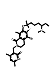 CCC(CCCC1(C)Oc2c(C)c3c(c(Br)c2O1)CCN(Cc1c(C)cc(C)[nH]c1=O)C3=O)N(C)C